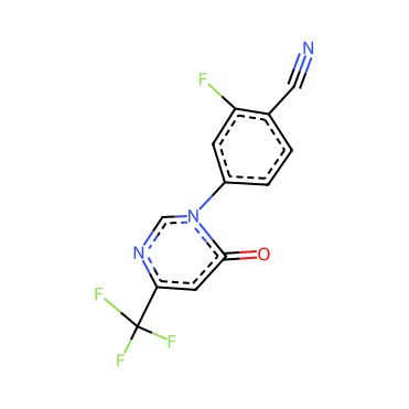 N#Cc1ccc(-n2cnc(C(F)(F)F)cc2=O)cc1F